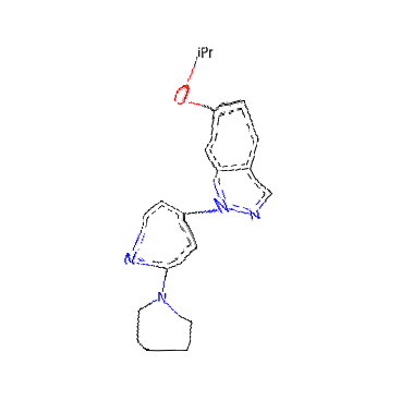 CC(C)Oc1ccc2cnn(-c3ccnc(N4CCCC4)c3)c2c1